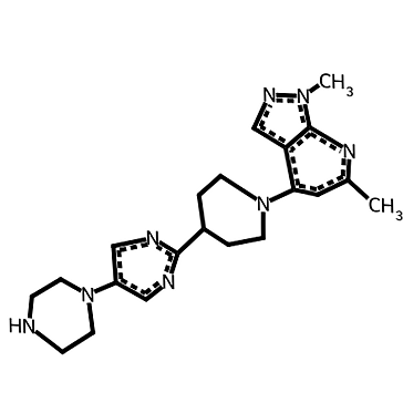 Cc1cc(N2CCC(c3ncc(N4CCNCC4)cn3)CC2)c2cnn(C)c2n1